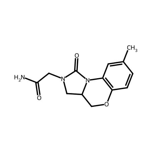 Cc1ccc2c(c1)N1C(=O)N(CC(N)=O)CC1CO2